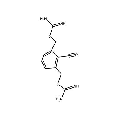 N#Cc1c(CSC(=N)N)cccc1CSC(=N)N